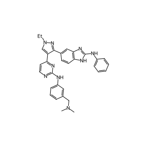 CCn1cc(-c2ccnc(Nc3cccc(CN(C)C)c3)n2)c(-c2ccc3[nH]c(Nc4ccccc4)nc3c2)n1